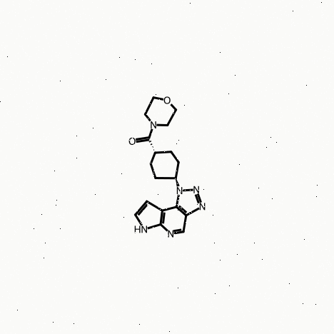 O=C([C@H]1CC[C@H](n2nnc3cnc4[nH]ccc4c32)CC1)N1CCOCC1